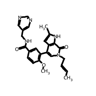 CC=CCn1cc(-c2cc(C(=O)NCc3cncnc3)ccc2OC)c2cc(C)[nH]c2c1=O